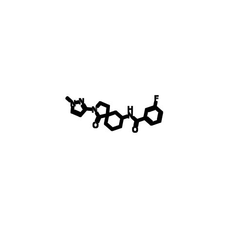 Cn1ccc(N2CCC3(CCCC(NC(=O)c4cccc(F)c4)C3)C2=O)n1